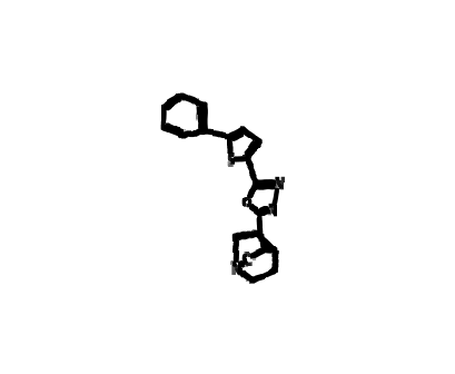 c1ccc(-c2ccc(-c3nnc(C4CN5CCC4CC5)o3)s2)cc1